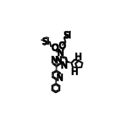 C[Si](C)(C)CCOCN(COCC[Si](C)(C)C)c1cc([C@H]2C[C@@H]3CC[C@@H](C3)C2)nc2c(-c3ccc(-c4ccccc4)nc3)cnn12